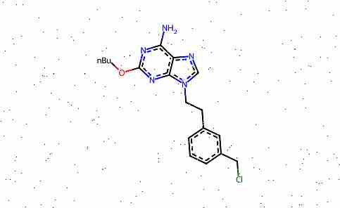 CCCCOc1nc(N)c2ncn(CCc3cccc(CCl)c3)c2n1